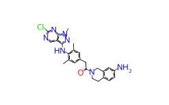 Cc1cc(CC(=O)N2CCc3ccc(N)cc3C2)cc(C)c1Nc1nn(C)c2nc(Cl)ncc12